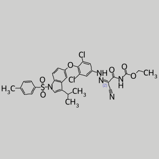 CCOC(=O)NC(=O)/C(C#N)=N\Nc1cc(Cl)c(Oc2ccc3c(c2)c(C(C)C)cn3S(=O)(=O)c2ccc(C)cc2)c(Cl)c1